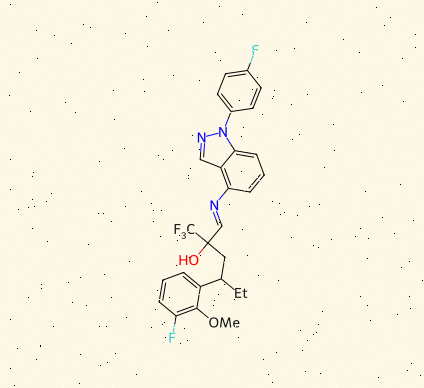 CCC(CC(O)(C=Nc1cccc2c1cnn2-c1ccc(F)cc1)C(F)(F)F)c1cccc(F)c1OC